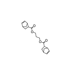 O=C(OCCCOC(=O)C1CC2C=CC1C2)C1CC2C=CC1C2